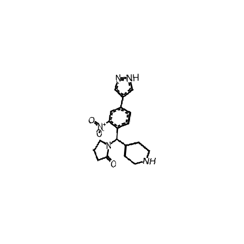 O=C1CCCN1C(c1ccc(-c2cn[nH]c2)cc1[N+](=O)[O-])C1CCNCC1